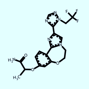 CC(Oc1ccc2c(c1)OCCn1cc(-c3ncnn3CC(F)(F)F)nc1-2)C(N)=O